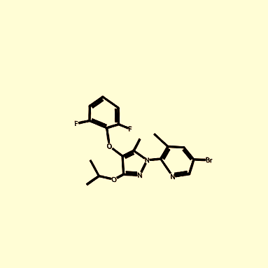 Cc1cc(Br)cnc1-n1nc(OC(C)C)c(Oc2c(F)cccc2F)c1C